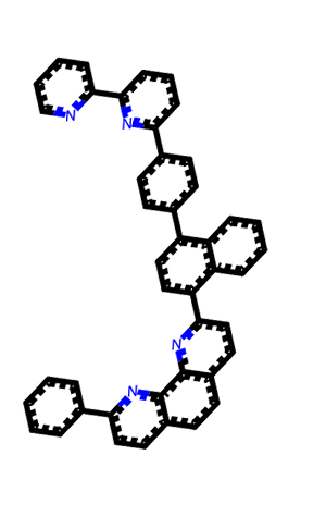 c1ccc(-c2ccc3ccc4ccc(-c5ccc(-c6ccc(-c7cccc(-c8ccccn8)n7)cc6)c6ccccc56)nc4c3n2)cc1